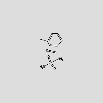 C=O.Cc1ccccc1.NS(N)(=O)=O